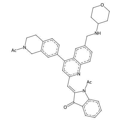 CC(=O)N1CCc2ccc(-c3cc(/C=C4/C(=O)c5ccccc5N4C(C)=O)nc4ccc(CNC5CCOCC5)cc34)cc2C1